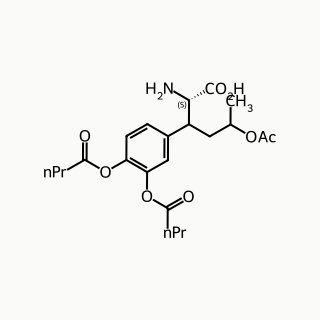 CCCC(=O)Oc1ccc(C(CC(C)OC(C)=O)[C@H](N)C(=O)O)cc1OC(=O)CCC